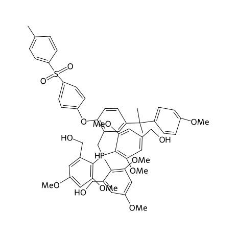 COc1ccc(C(C)(C)c2ccc(Oc3ccc(S(=O)(=O)c4ccc(C)cc4)cc3)c(C[PH](c3c(CO)cc(OC)cc3OC)(c3c(CO)cc(OC)cc3OC)c3c(OC)cc(CO)cc3OC)c2)cc1